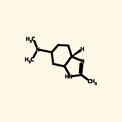 CC1=N[C@H]2CCC(N(C)C)CC2N1